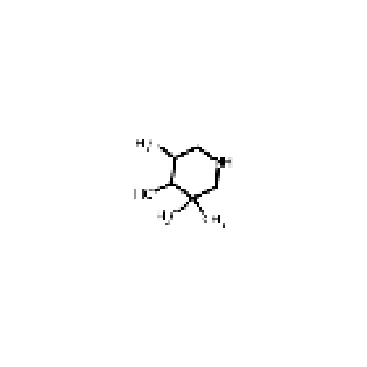 CC1CNCC(C)(C)C1O